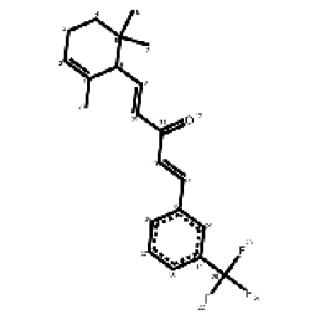 CC1=CCCC(C)(C)C1C=CC(=O)C=Cc1cccc(C(F)(F)F)c1